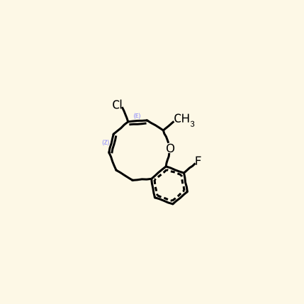 CC1/C=C(Cl)\C=C/CCc2cccc(F)c2O1